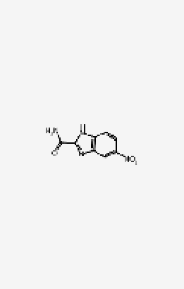 NC(=O)c1nc2cc([N+](=O)[O-])ccc2[nH]1